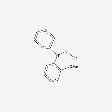 CCON(c1ccccc1)c1ccccc1OC